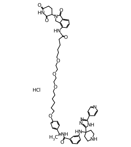 C[C@@H](NC(=O)c1cccc(NC2(c3nnc(-c4ccncc4)[nH]3)CCNCC2)c1)c1ccc(OCCCCCCOCCOCCOCCCCCC(=O)Nc2cccc3c2CN(C2CCC(=O)NC2=O)C3=O)cc1.Cl